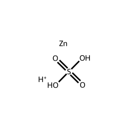 O=S(=O)(O)O.[H+].[Zn]